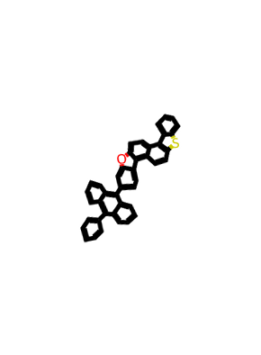 c1ccc(-c2c3ccccc3c(-c3ccc4c(c3)oc3ccc5c(ccc6sc7ccccc7c65)c34)c3ccccc23)cc1